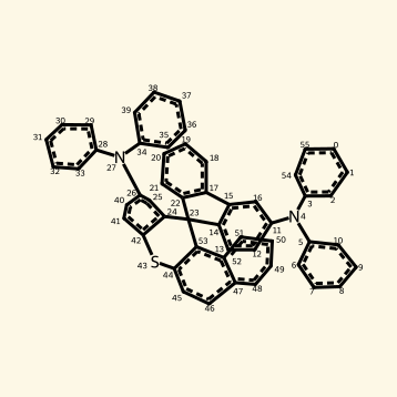 c1ccc(N(c2ccccc2)c2ccc3c(c2)-c2ccccc2C32c3cc(N(c4ccccc4)c4ccccc4)ccc3Sc3ccc4ccccc4c32)cc1